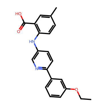 CCOc1cccc(-c2ccc(Nc3ccc(C)cc3C(=O)O)cn2)c1